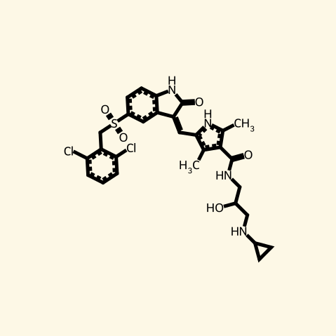 Cc1[nH]c(/C=C2\C(=O)Nc3ccc(S(=O)(=O)Cc4c(Cl)cccc4Cl)cc32)c(C)c1C(=O)NCC(O)CNC1CC1